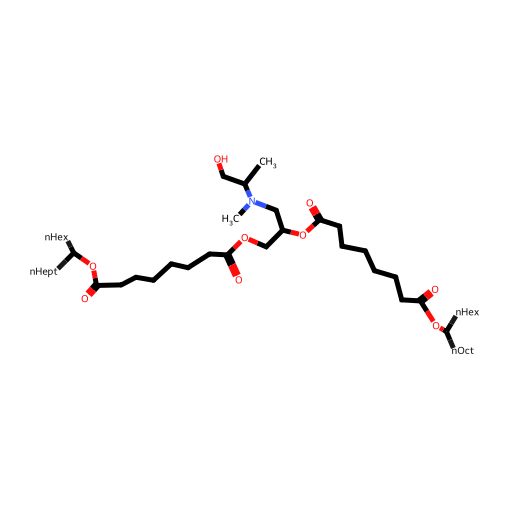 CCCCCCCCC(CCCCCC)OC(=O)CCCCCCC(=O)OC(COC(=O)CCCCCCC(=O)OC(CCCCCC)CCCCCCC)CN(C)C(C)CO